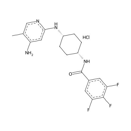 Cc1cnc(N[C@H]2CC[C@@H](NC(=O)c3cc(F)c(F)c(F)c3)CC2)cc1N.Cl